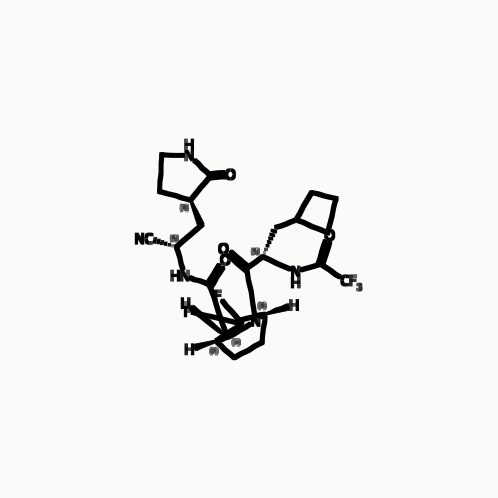 N#C[C@H](C[C@H]1CCNC1=O)NC(=O)[C@H]1[C@H]2CC[C@H](CC2(F)F)N1C(=O)[C@H](CC1CCC1)NC(=O)C(F)(F)F